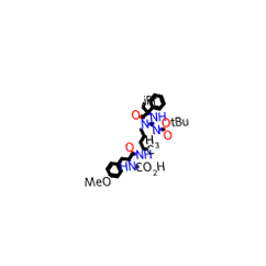 COc1ccc(CC(NC(=O)O)C(=O)NC(C)CCCN2C(=O)C(CC(C)C)(c3ccccc3)NC2=NC(=O)OC(C)(C)C)cc1